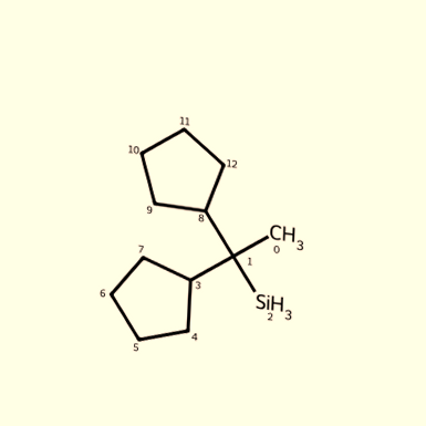 CC([SiH3])(C1CCCC1)C1CCCC1